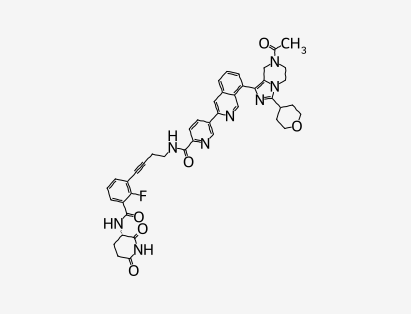 CC(=O)N1CCn2c(C3CCOCC3)nc(-c3cccc4cc(-c5ccc(C(=O)NCCC#Cc6cccc(C(=O)N[C@H]7CCC(=O)NC7=O)c6F)nc5)ncc34)c2C1